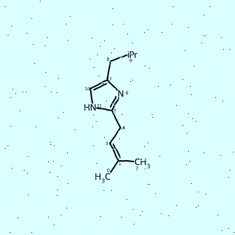 CC(C)=CCc1nc(CC(C)C)c[nH]1